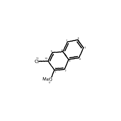 COc1cc2ccccc2cc1Cl